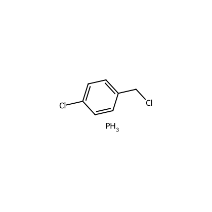 ClCc1ccc(Cl)cc1.P